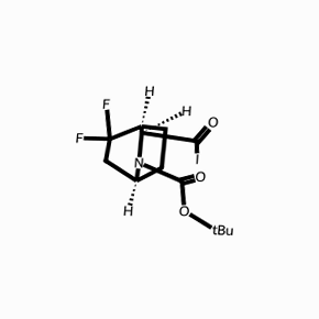 CC(C)(C)OC(=O)N1[C@H]2CC[C@@H]([C@H]1C(=O)I)C(F)(F)C2